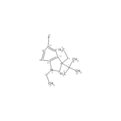 CCN1CC(CC)(C(C)(C)C)c2cc(F)ccc21